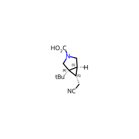 CC(C)(C)[C@]12CN(C(=O)O)C[C@H]1[C@@H]2CC#N